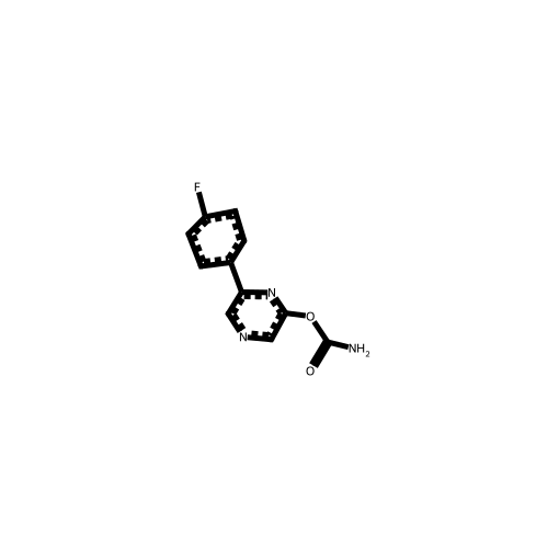 NC(=O)Oc1cncc(-c2ccc(F)cc2)n1